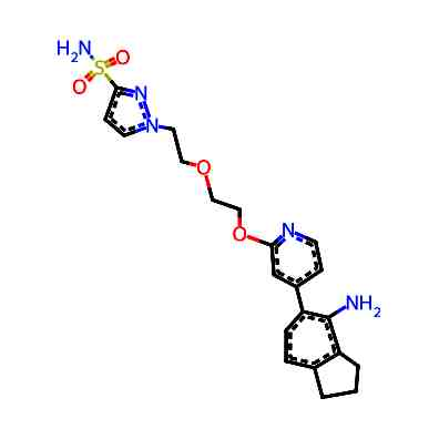 Nc1c(-c2ccnc(OCCOCCn3ccc(S(N)(=O)=O)n3)c2)ccc2c1CCC2